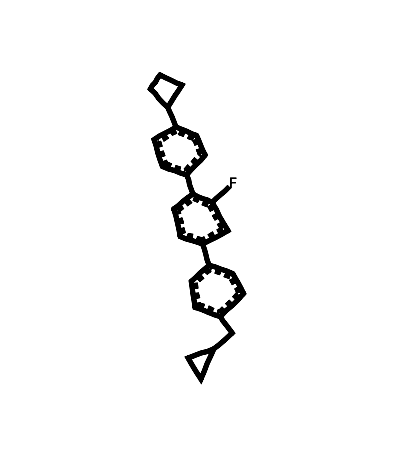 Fc1cc(-c2ccc(CC3CC3)cc2)ccc1-c1ccc(C2CCC2)cc1